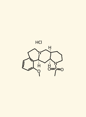 COc1cccc2c1[C@@H]1C[C@H]3[C@H](CCCN3S(C)(=O)=O)CN1CC2.Cl